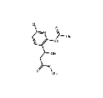 CC(C)(C)OC(=O)CC(O)c1ccc(Cl)nc1NC(=O)C(C)(C)C